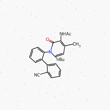 CCCCc1cc(C)c(NC(C)=O)c(=O)n1-c1ccccc1-c1ccccc1C#N